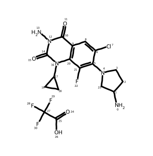 NC1CCN(c2c(Cl)cc3c(=O)n(N)c(=O)n(C4CC4)c3c2F)C1.O=C(O)C(F)(F)F